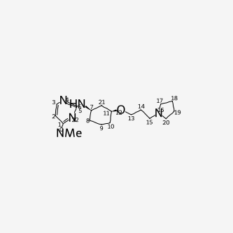 CNc1ccnc(N[C@@H]2CCC[C@H](OCCCN3CCCC3)C2)n1